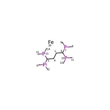 CP(C)C(CCC(P(C)C)P(C)C)P(C)C.[Fe]